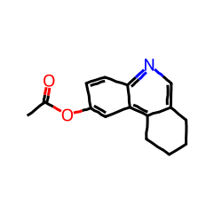 CC(=O)Oc1ccc2ncc3c(c2c1)CCCC3